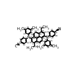 [C-]#[N+]c1ccc(N(c2cc(C)cc(C)c2)c2cc(CC)c3ccc4c(N(c5ccc(C#N)cc5)c5cc(C)cc(C)c5)cc(CC)c5ccc2c3c54)cc1